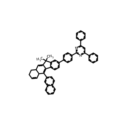 CC1(C)C2=CC3CCC=CC3C(c3ccc4ccccc4c3)=C2c2ccc(-c3ccc(-c4nc(-c5ccccc5)cc(-c5ccccc5)n4)cc3)cc21